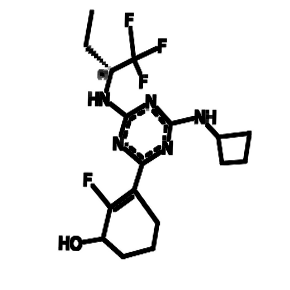 CC[C@@H](Nc1nc(NC2CCC2)nc(C2=C(F)C(O)CCC2)n1)C(F)(F)F